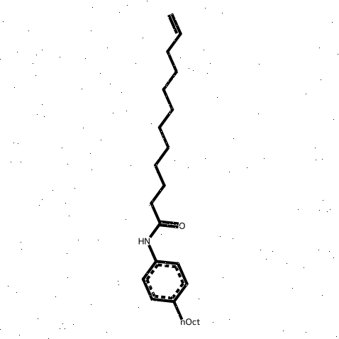 C=CCCCCCCCCCC(=O)Nc1ccc(CCCCCCCC)cc1